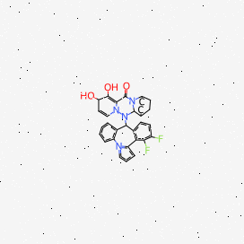 O=C1C2=C(O)C(O)C=CN2N(C2c3ccccc3-n3cccc3-c3c2ccc(F)c3F)C2C3CCC(CC3)N12